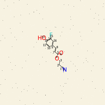 N#CCCOC(=O)/C=C/c1ccc(O)c(F)c1